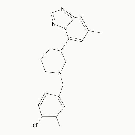 Cc1cc(C2CCCN(Cc3ccc(Cl)c(C)c3)C2)n2ncnc2n1